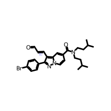 CC(C)CCN(CCC(C)C)C(=O)c1ccn2nc(-c3ccc(Br)cc3)c(/C=C/C=O)c2c1